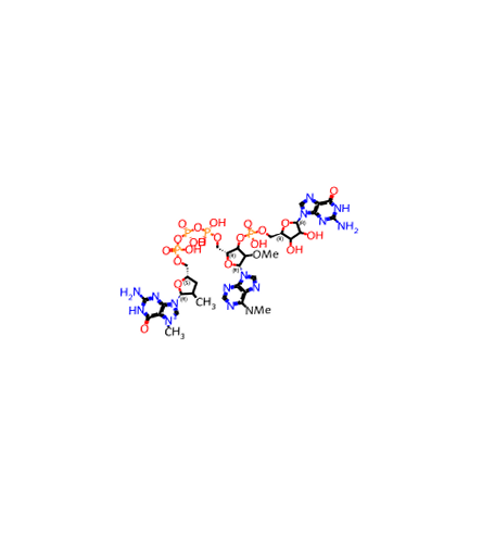 CNc1ncnc2c1ncn2[C@@H]1O[C@H](COP(=O)(O)OP(=O)(O)OP(=O)(O)OC[C@@H]2CC(C)[C@H](n3c[n+](C)c4c(=O)[nH]c(N)nc43)O2)C(OP(=O)(O)OC[C@H]2O[C@@H](n3cnc4c(=O)[nH]c(N)nc43)C(O)C2O)C1OC